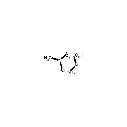 CN(C)C.NNC(=O)O